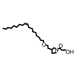 CCCCCCCC/C=C\CCCCCCCCOCCC1CCN(C(=O)CCO)C1